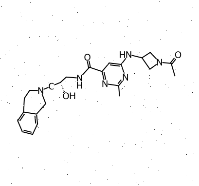 CC(=O)N1CC(Nc2cc(C(=O)NC[C@H](O)CN3CCc4ccccc4C3)nc(C)n2)C1